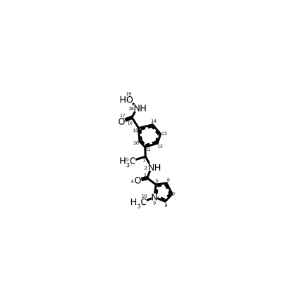 CC(NC(=O)c1cccn1C)c1cccc(C(=O)NO)c1